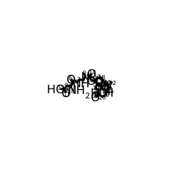 CN(CCNC(=O)[C@H](N)CC(=O)O)C(=O)Oc1ccc2c3c1C[C@H]1C(=O)CC[C@H]4C(C2)N(C)CC[C@]314